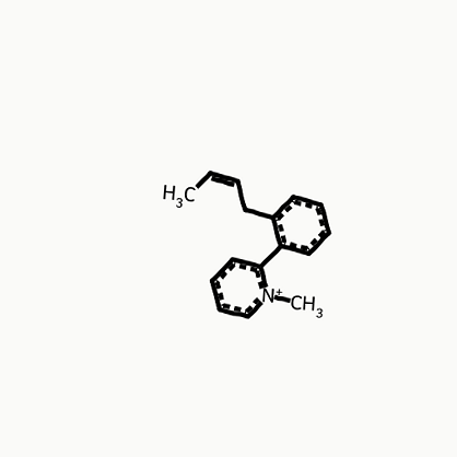 C/C=C\Cc1ccccc1-c1cccc[n+]1C